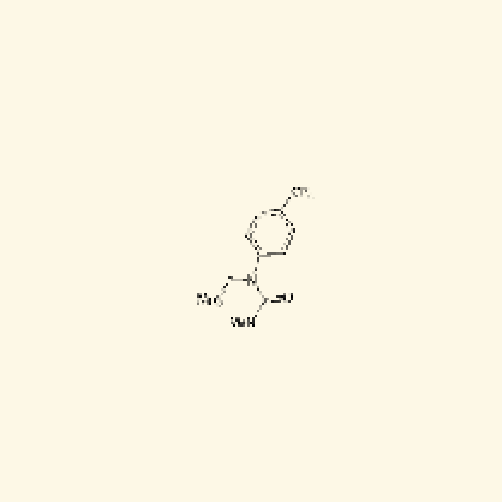 CNC(=O)N(CSC)c1ccc(C(F)(F)F)cc1